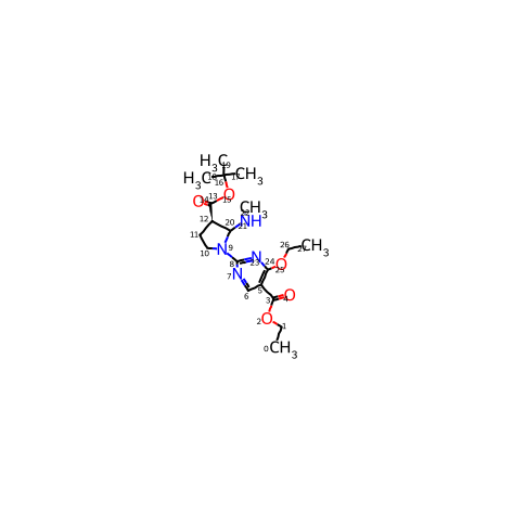 CCOC(=O)c1cnc(N2CC[C@@H](C(=O)OC(C)(C)C)C2NC)nc1OCC